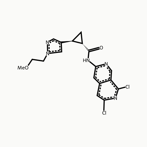 COCCn1cc([C@H]2C[C@@H]2C(=O)Nc2cc3cc(Cl)nc(Cl)c3cn2)cn1